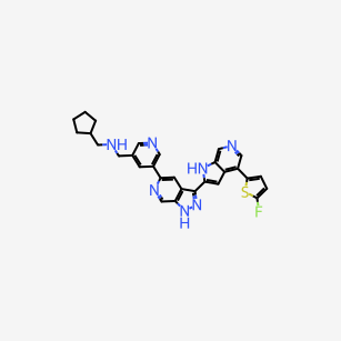 Fc1ccc(-c2cncc3[nH]c(-c4n[nH]c5cnc(-c6cncc(CNCC7CCCC7)c6)cc45)cc23)s1